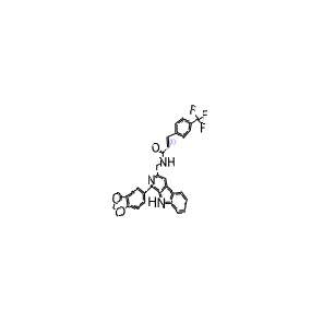 O=C(/C=C/c1ccc(C(F)(F)F)cc1)NCc1cc2c([nH]c3ccccc32)c(-c2ccc3c(c2)OCO3)n1